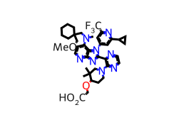 COCC1(CN(C)c2ccnc3nc(-c4nccnc4N4CCC(OCC(=O)O)C(C)(C)C4)n(-c4cc(C5CC5)nc(C(F)(F)F)c4)c23)CCCCC1